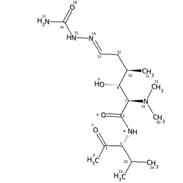 CC(=O)[C@H](NC(=O)[C@@H]([C@H](O)[C@H](C)C/C=N/NC(N)=O)N(C)C)C(C)C